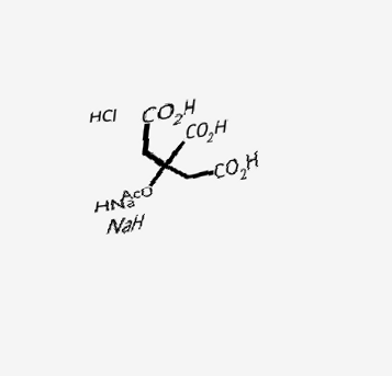 CC(=O)OC(CC(=O)O)(CC(=O)O)C(=O)O.Cl.[NaH].[NaH]